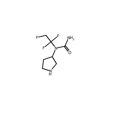 NC(=O)N(C1CCNC1)C(F)(F)CF